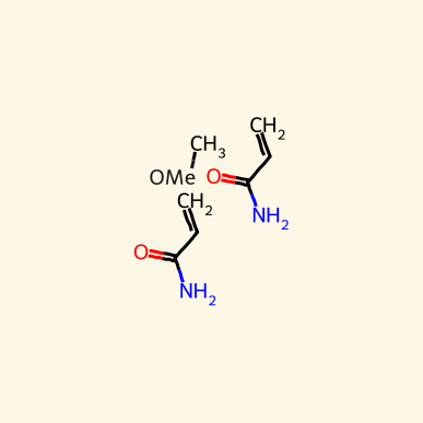 C=CC(N)=O.C=CC(N)=O.COC